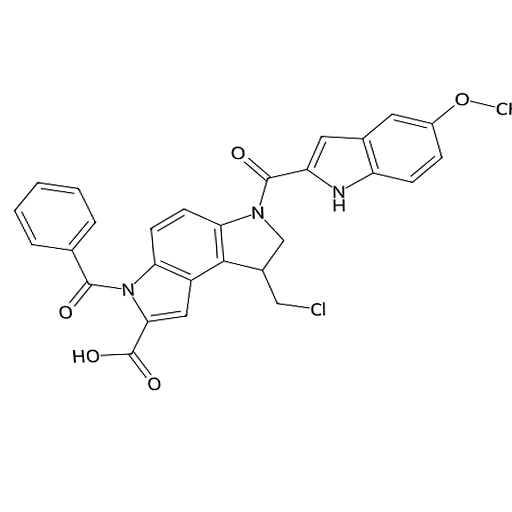 COc1ccc2[nH]c(C(=O)N3CC(CCl)c4c3ccc3c4cc(C(=O)O)n3C(=O)c3ccccc3)cc2c1